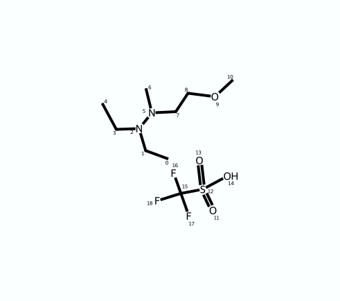 CCN(CC)N(C)CCOC.O=S(=O)(O)C(F)(F)F